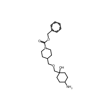 NC1CCC(O)(COCC2CCN(C(=O)OCc3ccccc3)CC2)CC1